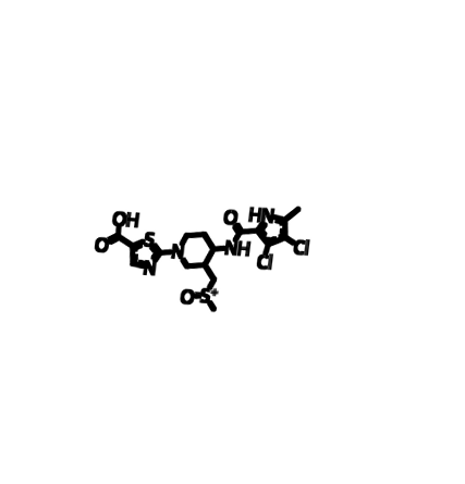 Cc1[nH]c(C(=O)NC2CCN(c3ncc(C(=O)O)s3)CC2C[S+](C)[O-])c(Cl)c1Cl